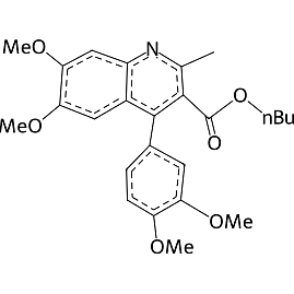 CCCCOC(=O)c1c(C)nc2cc(OC)c(OC)cc2c1-c1ccc(OC)c(OC)c1